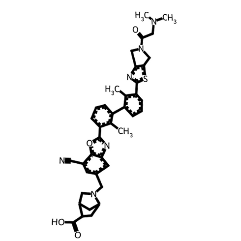 Cc1c(-c2nc3cc(CN4CC5CC4CC5C(=O)O)cc(C#N)c3o2)cccc1-c1cccc(-c2nc3c(s2)CN(C(=O)CN(C)C)C3)c1C